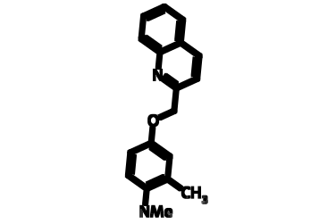 CNc1ccc(OCc2ccc3ccccc3n2)cc1C